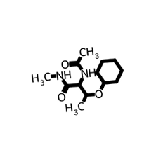 CNC(=O)C(NC(C)=O)C(C)OC1CCCCC1